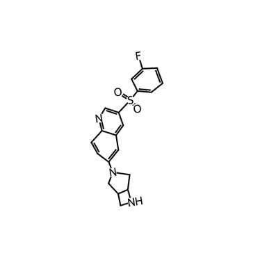 O=S(=O)(c1cccc(F)c1)c1cnc2ccc(N3CC4CNC4C3)cc2c1